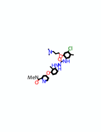 CNC(=O)c1cc(Oc2cccc(NNC(=O)Nc3cc(C)c(Cl)cc3OCCCN(C)C)c2C)ccn1